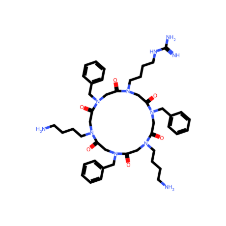 N=C(N)NCCCCN1CC(=O)N(Cc2ccccc2)CC(=O)N(CCCCN)CC(=O)N(Cc2ccccc2)CC(=O)N(CCCCN)CC(=O)N(Cc2ccccc2)CC1=O